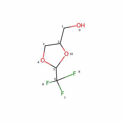 OCC1COC(C(F)(F)F)O1